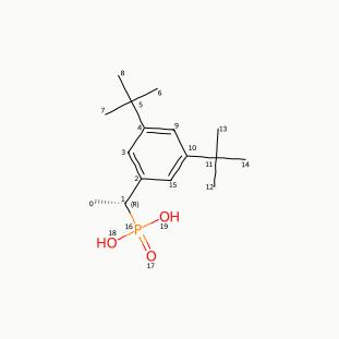 C[C@H](c1cc(C(C)(C)C)cc(C(C)(C)C)c1)P(=O)(O)O